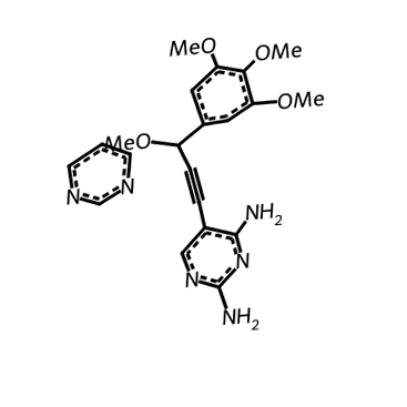 COc1cc(C(C#Cc2cnc(N)nc2N)OC)cc(OC)c1OC.c1cncnc1